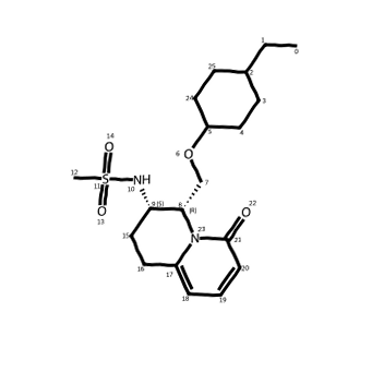 CCC1CCC(OC[C@H]2[C@@H](NS(C)(=O)=O)CCc3cccc(=O)n32)CC1